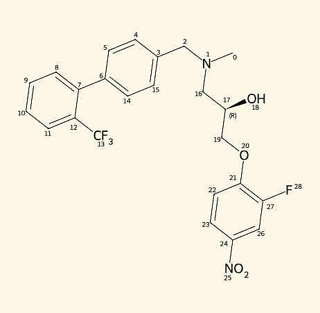 CN(Cc1ccc(-c2ccccc2C(F)(F)F)cc1)C[C@@H](O)COc1ccc([N+](=O)[O-])cc1F